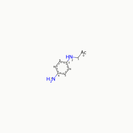 CC(=O)CNc1ccc(N)cc1